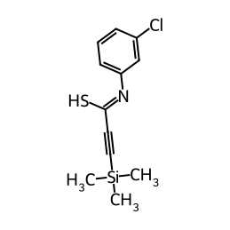 C[Si](C)(C)C#CC(S)=Nc1cccc(Cl)c1